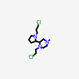 CN1CCN(CCCl)C(C2CCCN2CCCCl)C1